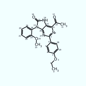 CCOc1ccc(-c2nc(C(C)=O)c3[nH]c(=O)n(-c4ccccc4OC)c3n2)cc1